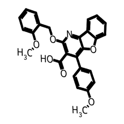 COc1ccc(-c2c(C(=O)O)c(OCc3ccccc3OC)nc3c2oc2ccccc23)cc1